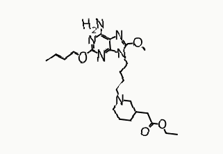 CCCCOc1nc(N)c2nc(OC)n(CCCCN3CCCC(CC(=O)OCC)C3)c2n1